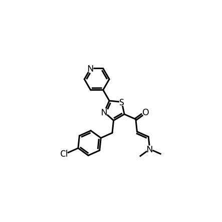 CN(C)C=CC(=O)c1sc(-c2ccncc2)nc1Cc1ccc(Cl)cc1